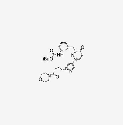 CC(C)COC(=O)Nc1cccc(Cc2nn(-c3cnn(CCCC(=O)N4CCOCC4)c3)ccc2=O)c1